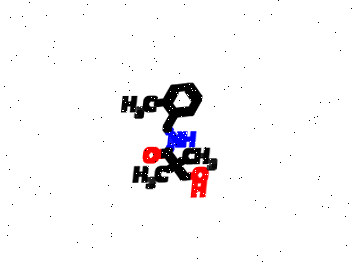 Cc1ccccc1CNC(=O)C(C)(C)CO